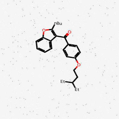 CCCCc1oc2ccccc2c1C(=O)c1ccc(OCCC(CC)CC)cc1